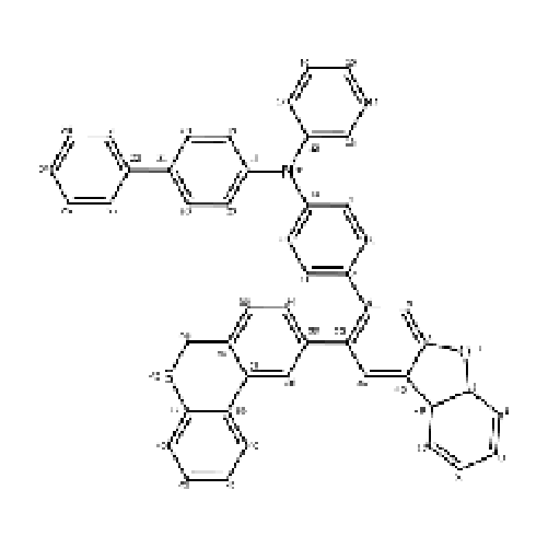 C1=CC2Oc3cc(-c4ccc(N(c5ccccc5)c5ccc(-c6ccccc6)cc5)cc4)c(-c4ccc5c(c4)-c4ccccc4SC5)cc3C2C=C1